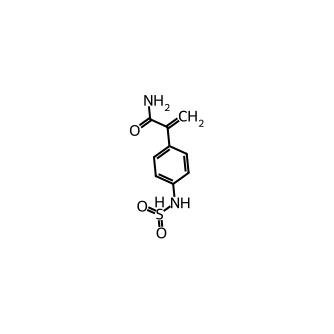 C=C(C(N)=O)c1ccc(N[SH](=O)=O)cc1